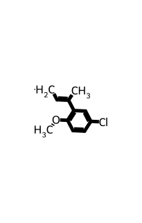 [CH2]C=C(C)c1cc(Cl)ccc1OC